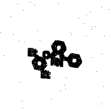 CCc1ccc(CC)c(Oc2nnc(-c3ccccc3)c3ccccc23)c1